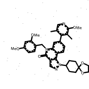 COc1ccc(Cn2c(=O)c3cnn(C4CCC5(CC4)OCCO5)c3c3ccc(-c4c(C)cnc(OC)c4C)cc32)c(OC)c1